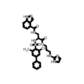 Cc1cc(-c2ccccc2)cc(C)c1S(=O)(=O)NC(CNC(=O)c1cccc2[nH]ncc12)C(=O)OCCCNc1ncc[nH]1